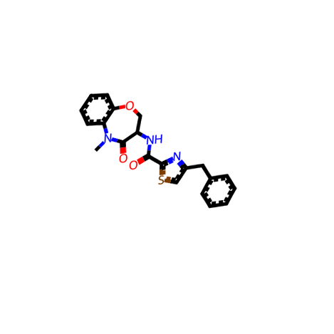 CN1C(=O)C(NC(=O)c2nc(Cc3ccccc3)cs2)COc2ccccc21